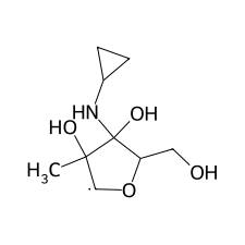 CC1(O)[CH]OC(CO)C1(O)NC1CC1